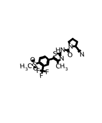 Cc1nc(NC(=O)N2CCCC2C#N)sc1-c1ccc(S(C)(=O)=O)c(C(F)(F)F)c1